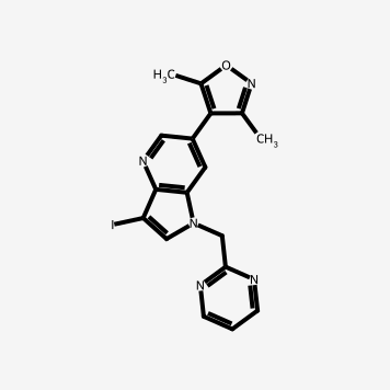 Cc1noc(C)c1-c1cnc2c(I)cn(Cc3ncccn3)c2c1